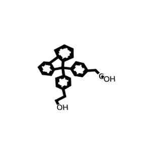 OCCc1ccc(C2(c3ccc(CCO)cc3)c3ccccc3-c3ccccc32)cc1